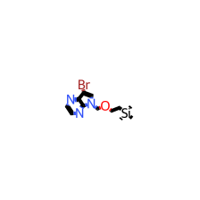 C[Si](C)(C)CCOCn1cc(Br)c2nccnc21